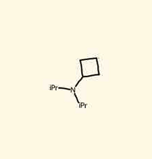 CC(C)N(C(C)C)C1C[CH]C1